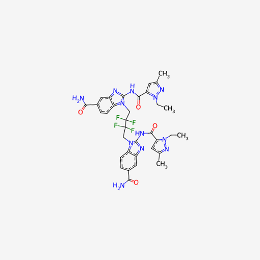 CCn1nc(C)cc1C(=O)Nc1nc2cc(C(N)=O)ccc2n1CC(F)(F)C(F)(F)Cn1c(NC(=O)c2cc(C)nn2CC)nc2cc(C(N)=O)ccc21